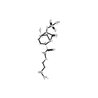 CNCCONC(=O)[C@@H]1CC[C@@H]2CN1C(=O)N2OS(=O)(=O)O